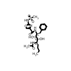 CCCC[C@@H](NC(C)=O)[C@@H](O)[C@H](O)[C@H](Cc1ccccc1)NC(=O)c1coc(NS(C)(=O)=O)n1